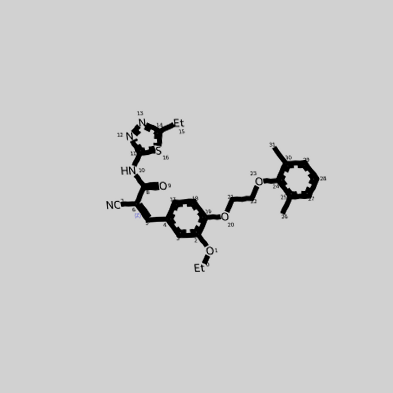 CCOc1cc(/C=C(/C#N)C(=O)Nc2nnc(CC)s2)ccc1OCCOc1c(C)cccc1C